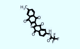 Cc1ccc2c(=O)c3c(sc4c(=O)c5ccc(NC(=O)C(F)(F)F)cc5c(=O)c43)c(=O)c2c1